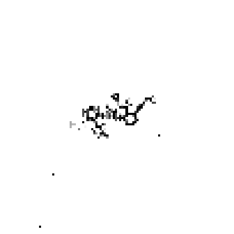 Cc1nnc(-c2c(N)ncnc2N[C@@H](C)c2nc3cccc(C#CCO)c3c(=O)n2C2CC2)o1